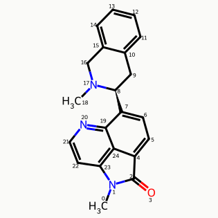 CN1C(=O)c2ccc([C@@H]3Cc4ccccc4CN3C)c3nccc1c23